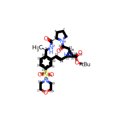 C[C@H](NC(=O)[C@@H]1CCCN1C(=O)CNC(=O)OC(C)(C)C)c1ccc(S(=O)(=O)N2CCOCC2)cc1/C=C/C1CC1